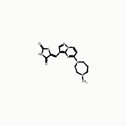 CN1CCCN(c2ccn3ncc(/C=C4\SC(=O)NC4=O)c3n2)CC1